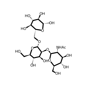 CC(=O)N[C@H]1[C@H](O[C@@H]2[C@@H](OC[C@H]3O[C@@H](O)[C@H](O)[C@@H](O)[C@@H]3O)O[C@H](CO)[C@@H](O)[C@@H]2O)O[C@H](CO)[C@@H](O)[C@@H]1O